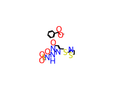 COC(=O)c1ccccc1.COc1cc(CSC2=NCCS2)nc(NC(=O)N=S(=O)=O)n1